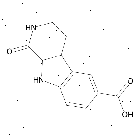 O=C(O)c1ccc2c(c1)C1CCNC(=O)C1N2